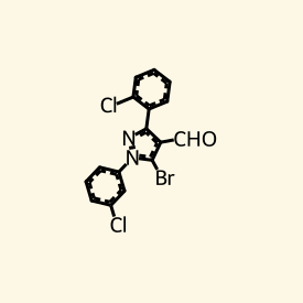 O=Cc1c(-c2ccccc2Cl)nn(-c2cccc(Cl)c2)c1Br